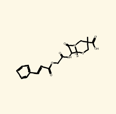 CC1(C(=O)O)CS[C@@H]2C(NC(=O)COC(=O)C=Cc3ccccc3)C(=O)N2C1